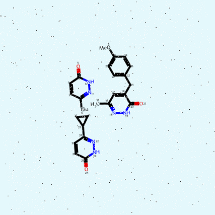 CC(C)(C)c1ccc(=O)[nH]n1.COc1ccc(Cc2cc(C)n[nH]c2=O)cc1.O=c1ccc(C2CC2)n[nH]1